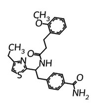 CCc1csc(C(Cc2ccc(C(N)=O)cc2)NC(=O)CCc2ccccc2OC)n1